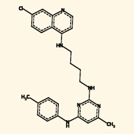 Cc1ccc(Nc2cc(C)nc(NCCCCNc3ccnc4cc(Cl)ccc34)n2)cc1